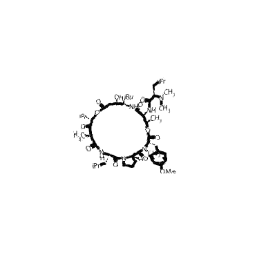 CC[C@H](C)[C@H]1NC(=O)[C@@H](NC(=O)[C@@H](CC(C)C)N(C)C)[C@@H](C)OC(=O)[C@H](Cc2ccc(OC)cc2)N(C)C(=O)[C@@H]2CCCN2C(=O)[C@H](CC(C)C)NC(=O)[C@@H](C)C(=O)[C@H](C(C)C)OC(=O)C[C@@H]1O